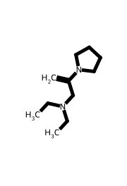 C=C(CN(CC)CC)N1CCCC1